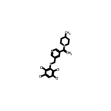 C=C(c1cncc(CSc2c(Cl)c(Cl)cc(Cl)c2Cl)c1)N1CCC(C)CC1